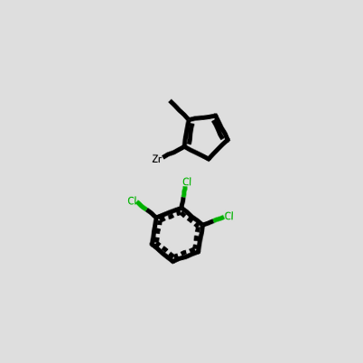 CC1=[C]([Zr])CC=C1.Clc1cccc(Cl)c1Cl